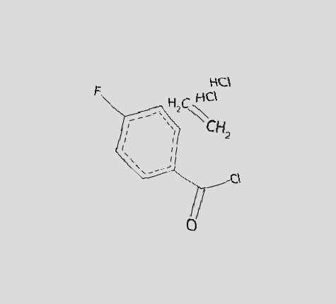 C=C.Cl.Cl.O=C(Cl)c1ccc(F)cc1